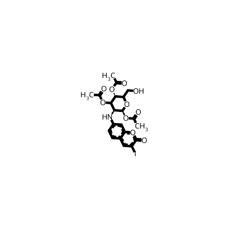 CC(=O)OC1[C@H](OC(C)=O)C(CO)O[C@@H](OC(C)=O)[C@H]1Nc1ccc2cc(I)c(=O)oc2c1